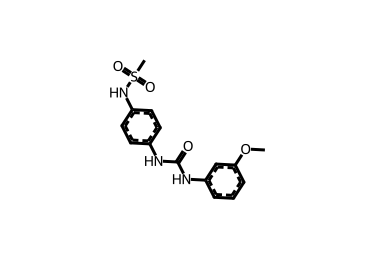 COc1cccc(NC(=O)Nc2ccc(NS(C)(=O)=O)cc2)c1